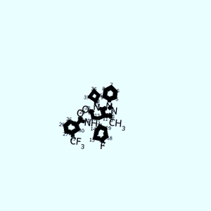 Cc1nn(-c2ccccc2)c2c1[C@H](c1ccc(F)cc1)[C@H](NC(=O)c1cccc(C(F)(F)F)c1)C(=O)N2C1CCC1